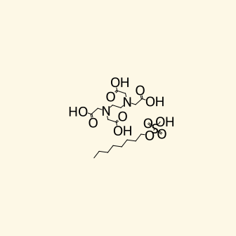 CCCCCCCCOS(=O)(=O)O.O=C(O)CN(CCN(CC(=O)O)CC(=O)O)CC(=O)O